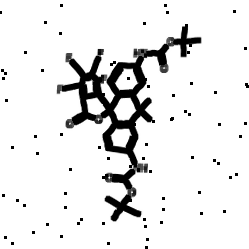 CC(C)(C)OC(=O)Nc1ccc2c(c1)C(C)(C)c1cc(NC(=O)OC(C)(C)C)ccc1C21OC(=O)c2c(F)c(F)c(F)c(F)c21